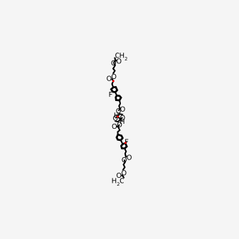 C=CC(=O)OCCCCOC(=O)CCc1ccc(-c2ccc(CCC(=O)OC3CO[C@@H]4[C@@H](OC(=O)CCc5ccc(-c6ccc(CCC(=O)OCCCCOC(=O)C=C)cc6F)cc5)CO[C@H]34)cc2)c(F)c1